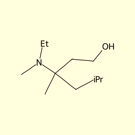 CCN(C)C(C)(CCO)CC(C)C